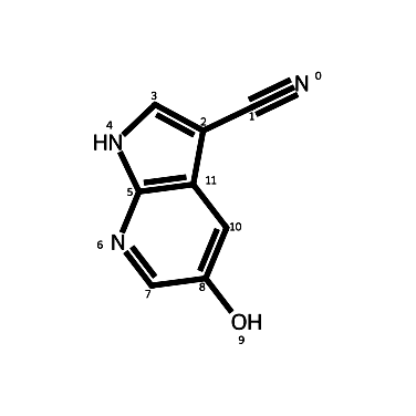 N#Cc1c[nH]c2ncc(O)cc12